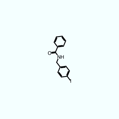 O=C(NCc1ccc(I)cc1)c1ccccc1